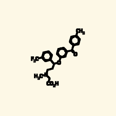 Cc1ccc(C(=O)c2cccc(OC(CCN(C)CC(=O)O)c3cccc(C(F)(F)F)c3)c2)cc1